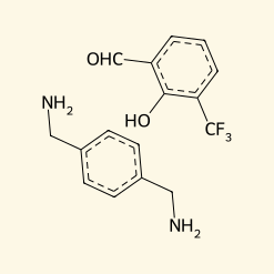 NCc1ccc(CN)cc1.O=Cc1cccc(C(F)(F)F)c1O